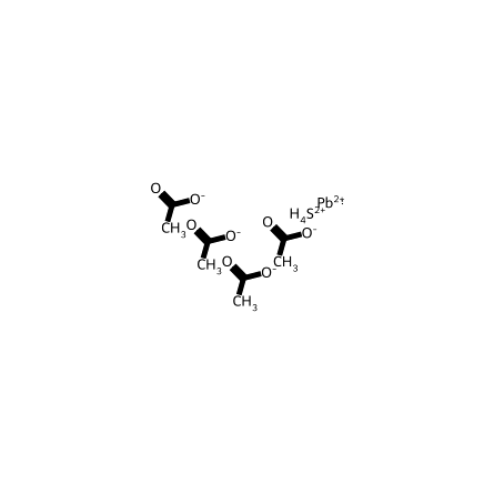 CC(=O)[O-].CC(=O)[O-].CC(=O)[O-].CC(=O)[O-].[Pb+2].[SH4+2]